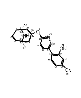 C[C@]12CCC[C@](C)(C[C@@H](Oc3ccc(-c4ccc(C#N)cc4O)nn3)C1)N2